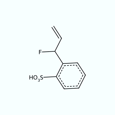 C=CC(F)c1ccccc1S(=O)(=O)O